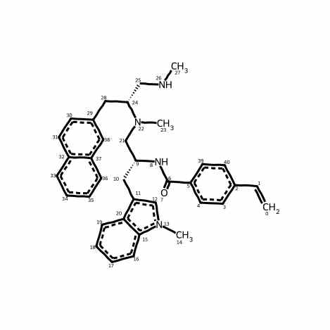 C=Cc1ccc(C(=O)N[C@H](Cc2cn(C)c3ccccc23)CN(C)[C@@H](CNC)Cc2ccc3ccccc3c2)cc1